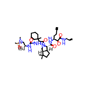 C#CCCC(NC(=O)[C@@H]1[C@H]2CCC(C)(C)[C@H]2CN1C(=O)[C@@H](NC(=O)N[C@H](CN(C)[S+](C)[O-])C(C)(C)C)C1(C)CCCCC1)C(=O)C(=O)NCC=C